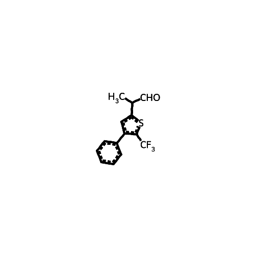 CC(C=O)c1cc(-c2ccccc2)c(C(F)(F)F)s1